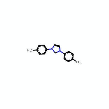 Cc1ccc(N2C=CN(c3ccc(C)cc3)C2)cc1